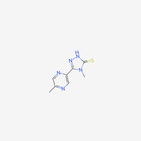 Cc1cnc(-c2n[nH]c(=S)n2C)cn1